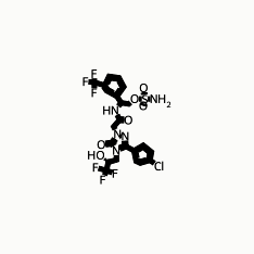 NS(=O)(=O)OCC(NC(=O)Cn1nc(-c2ccc(Cl)cc2)n(C[C@H](O)C(F)(F)F)c1=O)c1cccc(C(F)(F)F)c1